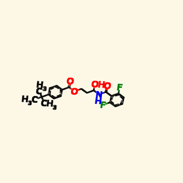 CC(C)(C)c1ccc(C(=O)OCCC(O)NC(=O)c2c(F)cccc2F)cc1